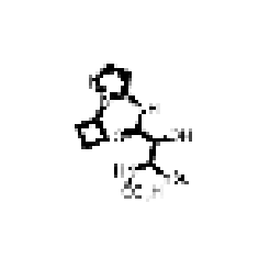 CCCCC(NC(=O)O)C(O)C(=O)Nc1ccnn1C1CCC1